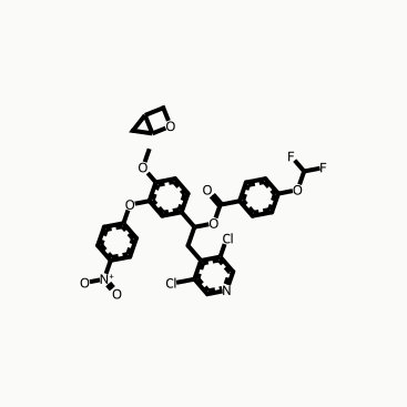 C1OC2CC12.COc1ccc(C(Cc2c(Cl)cncc2Cl)OC(=O)c2ccc(OC(F)F)cc2)cc1Oc1ccc([N+](=O)[O-])cc1